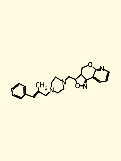 C/C(=C\c1ccccc1)CN1CCN(CC2ON=C3c4cccnc4OCC32)CC1